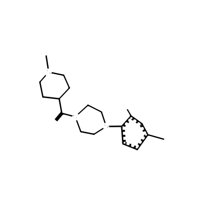 Cc1ccc(N2CCN(C(=O)C3CCN(C)CC3)CC2)c(C(F)(F)F)c1